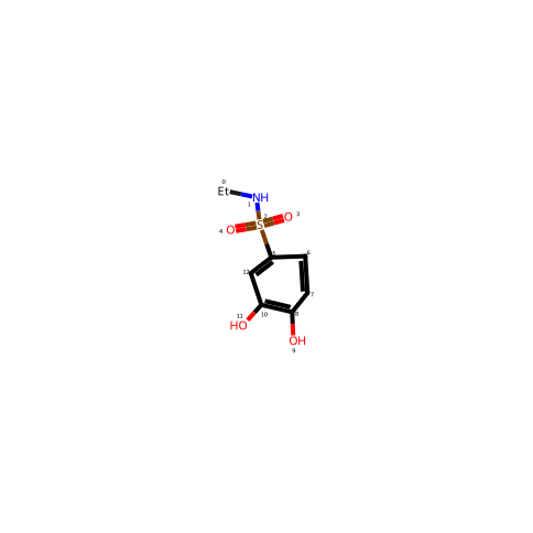 [CH2]CNS(=O)(=O)c1ccc(O)c(O)c1